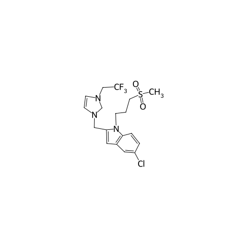 CS(=O)(=O)CCCn1c(CN2C=CN(CC(F)(F)F)C2)cc2cc(Cl)ccc21